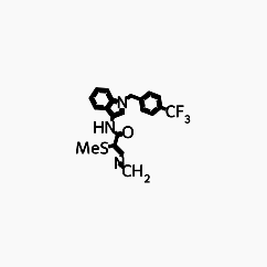 C=N/C=C(\SC)C(=O)Nc1cn(Cc2ccc(C(F)(F)F)cc2)c2ccccc12